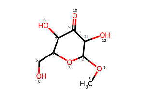 COC1OC(CO)C(O)C(=O)C1O